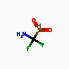 NC(F)(F)[SH](=O)=O